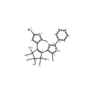 Cc1sc(Br)cc1C1=C(c2cc(-c3ccccc3)sc2C)C(F)(F)C(F)(F)C1(F)F